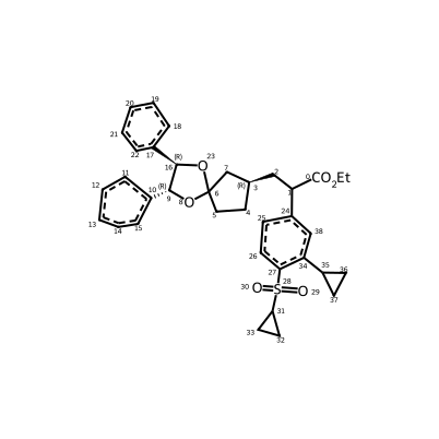 CCOC(=O)C(C[C@H]1CCC2(C1)O[C@H](c1ccccc1)[C@@H](c1ccccc1)O2)c1ccc(S(=O)(=O)C2CC2)c(C2CC2)c1